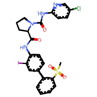 CS(=O)(=O)c1ccccc1-c1ccc(NC(=O)C2CCCN2C(=O)Nc2ccc(Cl)cn2)c(I)c1